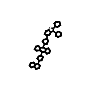 c1ccc(C2Oc3ccc(-c4ccc(-c5c6ccccc6c(-c6ccc(-c7cccc8ccccc78)cc6)c6ccccc56)cc4)cc3C2c2ccccc2)cc1